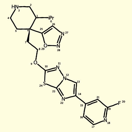 CC(C)C1CNCC[C@@]1(CCOc1nn2cc(-c3ccnc(F)c3)nc2s1)c1cnno1